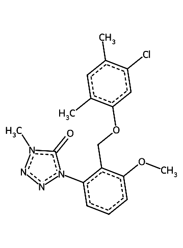 COc1cccc(-n2nnn(C)c2=O)c1COc1cc(Cl)c(C)cc1C